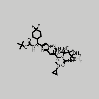 BC1(B)NC(=O)N([C@H](COC2CC2)c2cnn3cc([C@@H](NC(=O)OC(C)(C)C)C4CCC(F)(F)CC4)nc3c2)C(B)(B)C1(F)F